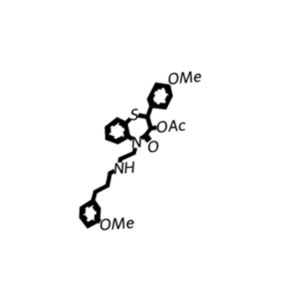 COc1ccc(C2Sc3ccccc3N(CCNCCCc3cccc(OC)c3)C(=O)C2OC(C)=O)cc1